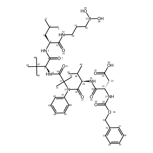 CC(C)C[C@H](NC(=O)[C@@H](NC(=O)C(C)(C)N(C(=O)[C@H](NC(=O)[C@H](CC(=O)O)NC(=O)OCc1ccccc1)C(C)C)c1ccccc1)C(C)(C)C)C(=O)NCCCB(O)O